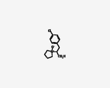 O=C(O)C(Cc1ccc(Cl)cc1)[N+]1([O-])CCCC1